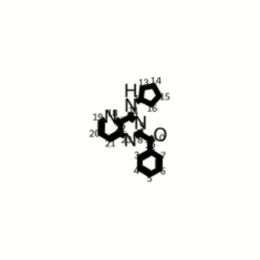 O=C(c1ccccc1)c1nc(NC2CCCC2)c2ncccc2n1